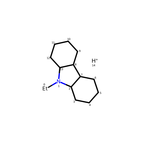 CCN1C2CCCCC2C2CCCCC21.[H+]